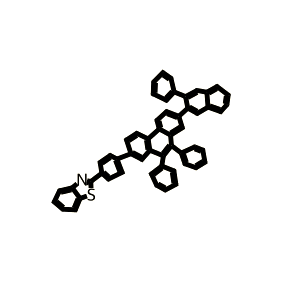 c1ccc(-c2cc3ccccc3cc2-c2ccc3c(c2)c(-c2ccccc2)c(-c2ccccc2)c2cc(-c4ccc(-c5nc6ccccc6s5)cc4)ccc23)cc1